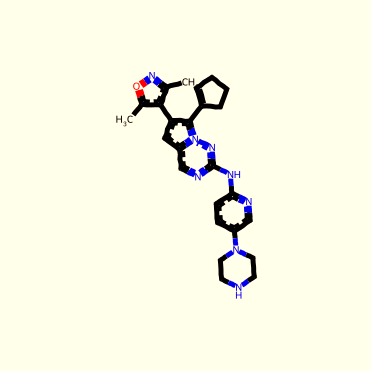 Cc1noc(C)c1-c1cc2cnc(Nc3ccc(N4CCNCC4)cn3)nn2c1C1=CCCC1